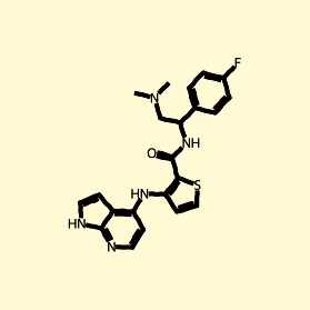 CN(C)CC(NC(=O)c1sccc1Nc1ccnc2[nH]ccc12)c1ccc(F)cc1